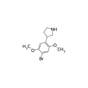 COc1cc(C2CCNC2)c(OC)cc1Br